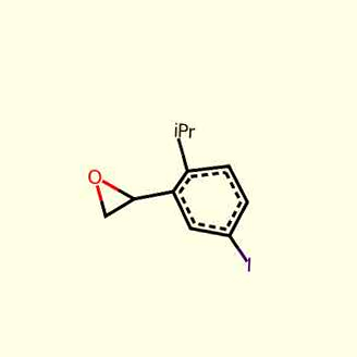 CC(C)c1ccc(I)cc1C1CO1